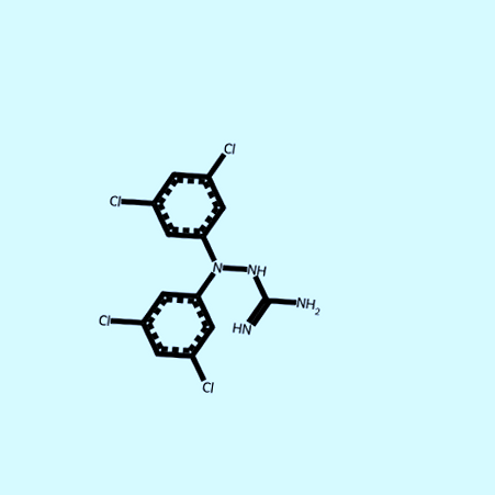 N=C(N)NN(c1cc(Cl)cc(Cl)c1)c1cc(Cl)cc(Cl)c1